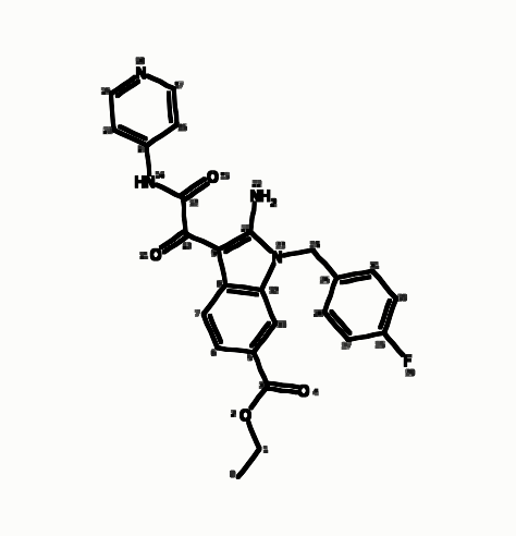 CCOC(=O)c1ccc2c(C(=O)C(=O)Nc3ccncc3)c(N)n(Cc3ccc(F)cc3)c2c1